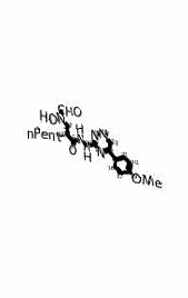 CCCCC[C@H](CN(O)C=O)C(=O)NNc1nncc(-c2ccc(OC)cc2)n1